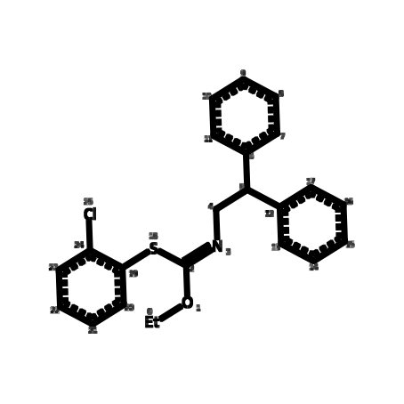 CCOC(=NCC(c1ccccc1)c1ccccc1)Sc1ccccc1Cl